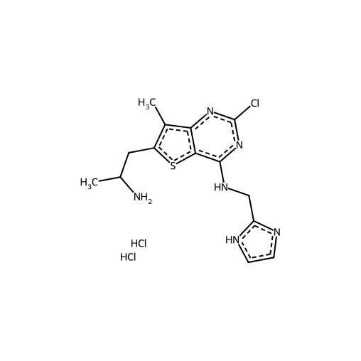 Cc1c(CC(C)N)sc2c(NCc3ncc[nH]3)nc(Cl)nc12.Cl.Cl